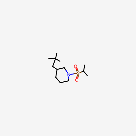 CC(C)S(=O)(=O)N1CCCC(CC(C)(C)C)C1